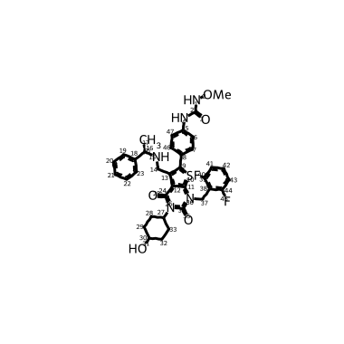 CONC(=O)Nc1ccc(-c2sc3c(c2CN[C@H](C)c2ccccc2)c(=O)n(C2CCC(O)CC2)c(=O)n3Cc2c(F)cccc2F)cc1